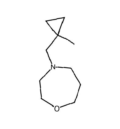 CC1(CN2CCCOCC2)CC1